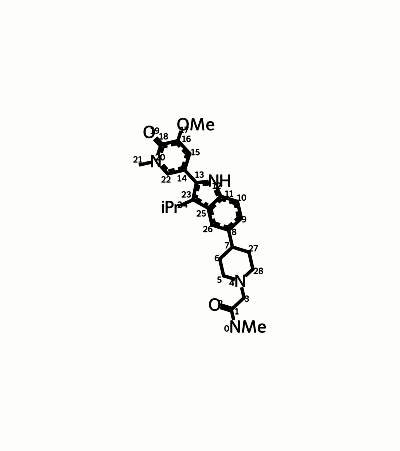 CNC(=O)CN1CCC(c2ccc3[nH]c(-c4cc(OC)c(=O)n(C)c4)c(C(C)C)c3c2)CC1